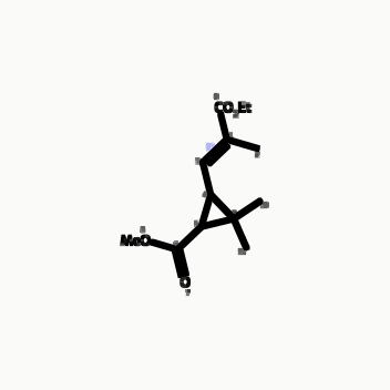 CCOC(=O)/C(C)=C/C1C(C(=O)OC)C1(C)C